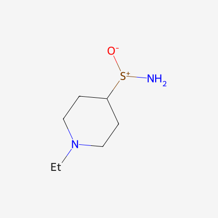 CCN1CCC([S+](N)[O-])CC1